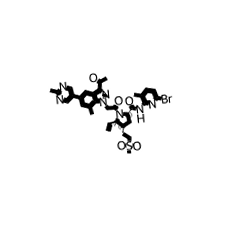 C=C[C@@H]1[C@@H](CCS(C)(=O)=O)C[C@@H](C(=O)Nc2nc(Br)ccc2C)N1C(=O)Cn1nc(C(C)=O)c2cc(-c3cnc(C)nc3)cc(C)c21